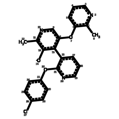 Cc1ncccc1Oc1cnc(C)c([O])c1-c1cccnc1Oc1ccc(Cl)cc1